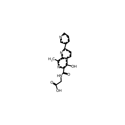 Cc1nc(C(=O)NCC(=O)O)c(O)c2ccc(-c3cccnc3)nc12